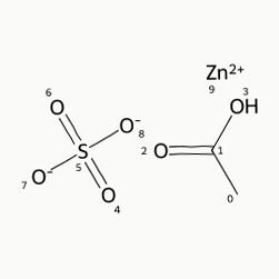 CC(=O)O.O=S(=O)([O-])[O-].[Zn+2]